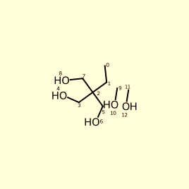 CCC(CO)(CO)CO.CO.CO